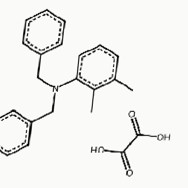 Cc1cccc(N(Cc2ccccc2)Cc2ccccc2)c1C.O=C(O)C(=O)O